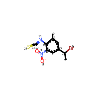 Cc1cc(C(C)Br)cc([N+](=O)[O-])c1N=C=S